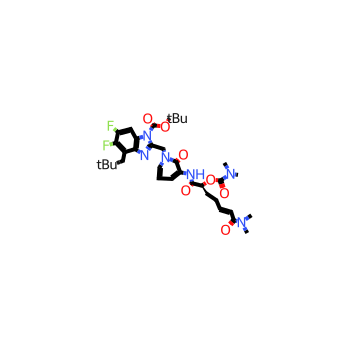 CN(C)C(=O)/C=C/CC[C@H](OC(=O)N(C)C)C(=O)Nc1cccn(Cc2nc3c(CC(C)(C)C)c(F)c(F)cc3n2C(=O)OC(C)(C)C)c1=O